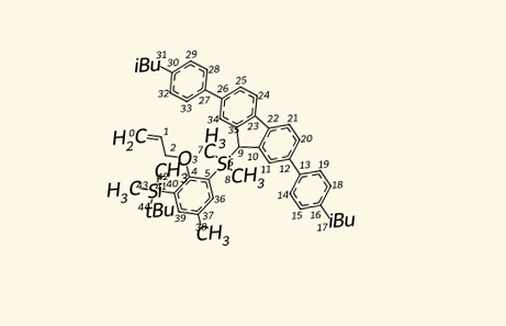 C=CCOc1c([Si](C)(C)C2c3cc(-c4ccc(C(C)CC)cc4)ccc3-c3ccc(-c4ccc(C(C)CC)cc4)cc32)cc(C)cc1[Si](C)(C)C(C)(C)C